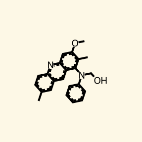 COc1cc2nc3ccc(C)cc3cc2c(N(CO)c2ccccc2)c1C